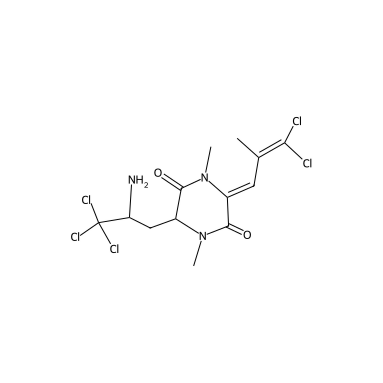 CC(/C=C1/C(=O)N(C)C(CC(N)C(Cl)(Cl)Cl)C(=O)N1C)=C(Cl)Cl